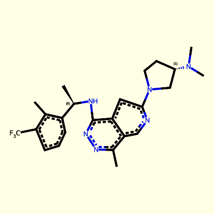 Cc1c([C@@H](C)Nc2nnc(C)c3cnc(N4CC[C@H](N(C)C)C4)cc23)cccc1C(F)(F)F